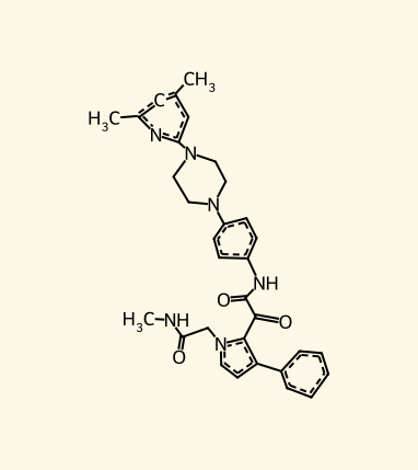 CNC(=O)Cn1ccc(-c2ccccc2)c1C(=O)C(=O)Nc1ccc(N2CCN(c3cc(C)cc(C)n3)CC2)cc1